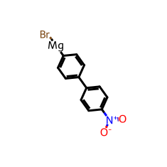 O=[N+]([O-])c1ccc(-c2cc[c]([Mg][Br])cc2)cc1